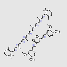 CC1=C(/C=C/C(C)=C/C=C/C(C)=C/C=C/C=C(C)/C=C/C=C(C)/C=C/C2=C(C)CCCC2(C)C)C(C)(C)CCC1.COc1cc(/C=C/C(=O)CC(=O)/C=C/c2ccc(O)c(OC)c2)ccc1O